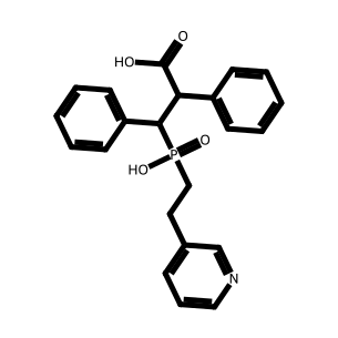 O=C(O)C(c1ccccc1)C(c1ccccc1)P(=O)(O)CCc1cccnc1